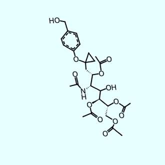 CC(=O)N[C@@H](C(O)[C@H](OC(C)=O)[C@@H](COC(C)=O)OC(C)=O)[C@H](CC1(Oc2ccc(CO)cc2)CC1)OC(C)=O